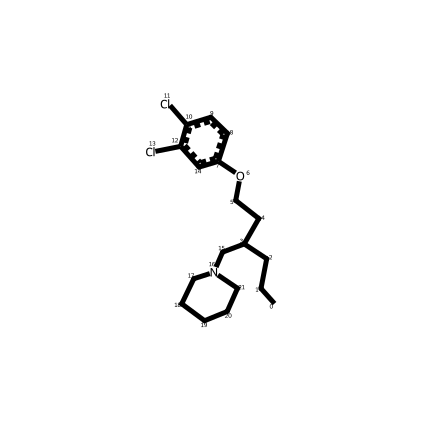 CCCC(CCOc1ccc(Cl)c(Cl)c1)CN1CCCCC1